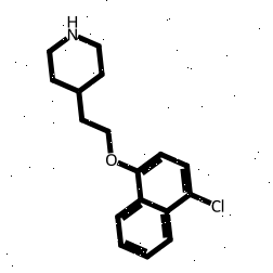 Clc1ccc(OCCC2CCNCC2)c2ccccc12